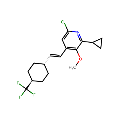 COc1c(/C=C/[C@H]2CC[C@H](C(F)(F)F)CC2)cc(Cl)nc1C1CC1